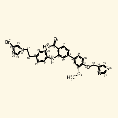 COc1cc(-c2ccc3c(c2)Nc2ccc(CCn4cnc(Br)c4)cc2NC3=O)ccc1OCc1cscn1